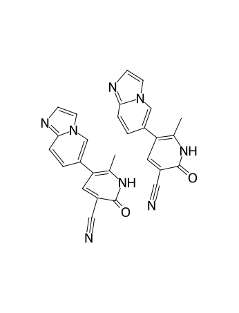 Cc1[nH]c(=O)c(C#N)cc1-c1ccc2nccn2c1.Cc1[nH]c(=O)c(C#N)cc1-c1ccc2nccn2c1